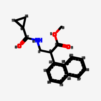 COC(=O)C(CNC(=O)C1CC1)c1cccc2ccccc12